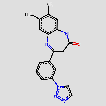 Cc1cc2c(cc1C(F)(F)F)NC(=O)CC(c1cccc(-n3ccnn3)c1)=N2